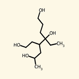 CCC(O)(CCCO)[C](CCO)CC(C)O